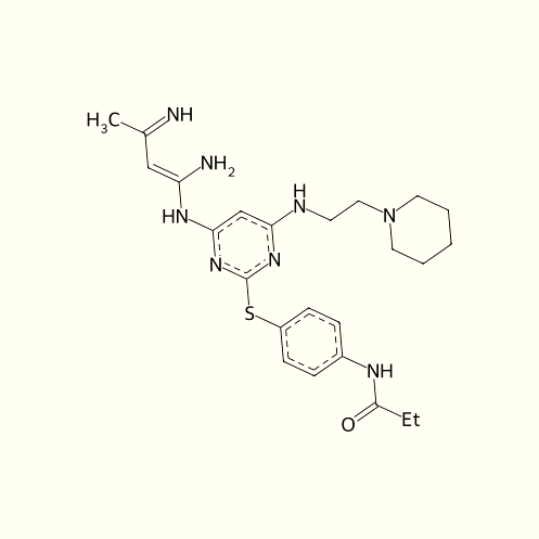 CCC(=O)Nc1ccc(Sc2nc(NCCN3CCCCC3)cc(N/C(N)=C/C(C)=N)n2)cc1